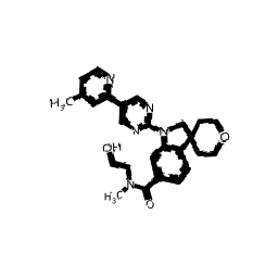 Cc1ccnc(-c2cnc(N3CC4(CCOCC4)c4ccc(C(=O)N(C)CCO)cc43)nc2)c1